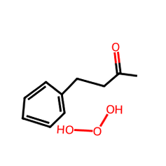 CC(=O)CCc1ccccc1.OOO